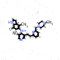 Cc1c(Nc2c(C#N)cncc2/C=C/c2cccc(CN3CCN(C)CC3)n2)cc(Cl)c2[nH]ccc12